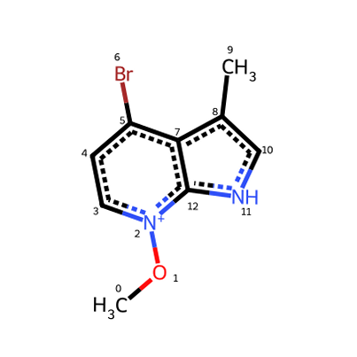 CO[n+]1ccc(Br)c2c(C)c[nH]c21